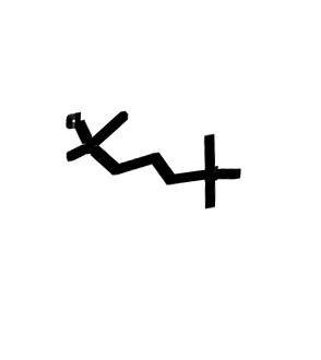 C[Si](C)(C)CCCS(C)(C)Cl